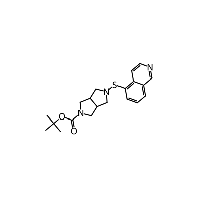 CC(C)(C)OC(=O)N1CC2CN(Sc3cccc4cnccc34)CC2C1